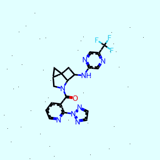 O=C(c1cccnc1-n1nccn1)N1CC2CC23CC(Nc2cnc(C(F)(F)F)cn2)C13